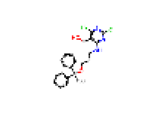 CC(C)(C)[Si](OCCCNc1nc(Cl)nc(Cl)c1CO)(c1ccccc1)c1ccccc1